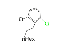 [CH2]Cc1cccc(Cl)c1CCCCCCCC